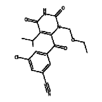 CCOCn1c(C(=O)c2cc(Cl)cc(C#N)c2)c(C(C)C)c(=O)[nH]c1=O